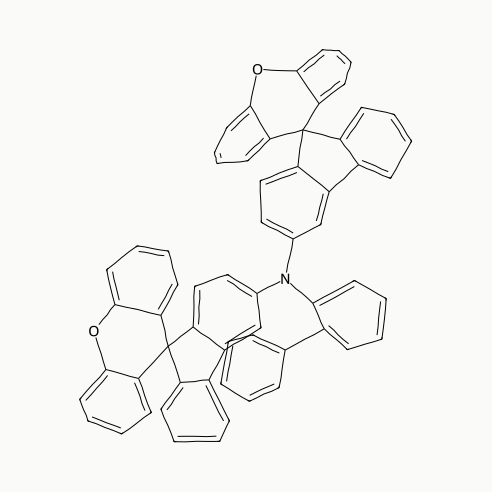 c1ccc(-c2ccccc2N(c2ccc3c(c2)-c2ccccc2C32c3ccccc3Oc3ccccc32)c2ccc3c(c2)-c2ccccc2C32c3ccccc3Oc3ccccc32)cc1